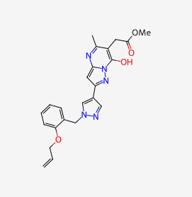 C=CCOc1ccccc1Cn1cc(-c2cc3nc(C)c(CC(=O)OC)c(O)n3n2)cn1